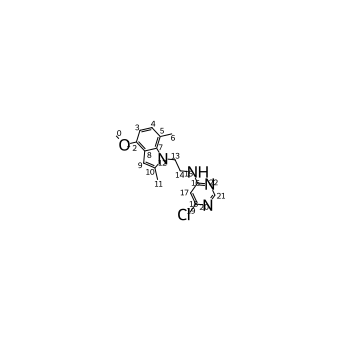 COc1ccc(C)c2c1cc(C)n2CCNc1cc(Cl)ncn1